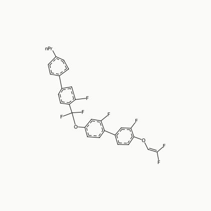 CCCc1ccc(-c2ccc(C(F)(F)Oc3ccc(-c4ccc(OC=C(F)F)c(F)c4)c(F)c3)c(F)c2)cc1